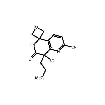 CCC1(CCOC)C(=O)NC2(COC2)c2ccc(C#N)nc21